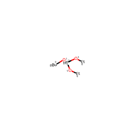 CCCC[O][Hf]([O]CC)[O]CC